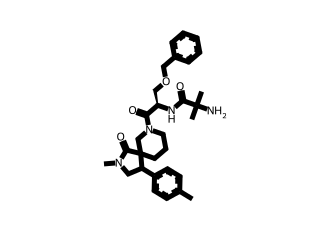 Cc1ccc(C2CN(C)C(=O)C23CCCN(C(=O)[C@@H](COCc2ccccc2)NC(=O)C(C)(C)N)C3)cc1